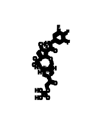 Cn1cc2c(c1C(=O)Nc1cc(F)c(F)c(F)c1)OC[C@H]1CN(C(=O)COP(=O)(O)O)C[C@H]1NS2(=O)=O